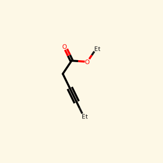 CCC#CCC(=O)OCC